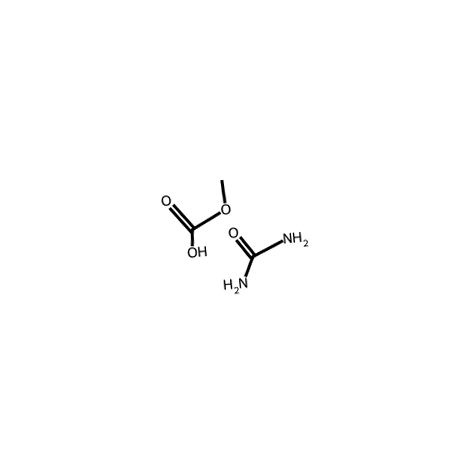 COC(=O)O.NC(N)=O